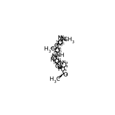 CC#CC(=O)CCC1CCCN2C[C@H]1COc1cc3ncnc(Nc4ccc(Oc5ccc6c(c5)ncn6C)c(C)c4)c3cc12